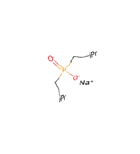 CC(C)CP(=O)([O-])CC(C)C.[Na+]